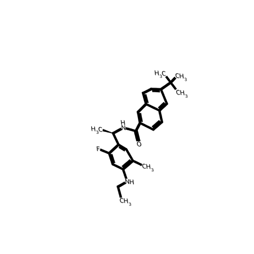 CCNc1cc(F)c([C@@H](C)NC(=O)c2ccc3cc(C(C)(C)C)ccc3c2)cc1C